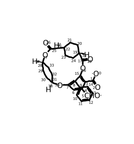 [O]C(=O)c1c([C]=O)cc2c(-c3ccccc3)c1OC(=O)[C@H]1CC[C@@H](CC1)C(=O)O[C@H]1CC[C@@H](CC1)O2